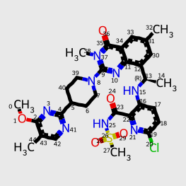 COc1nc(C2CCN(c3nc4c([C@@H](C)Nc5ccc(Cl)nc5C(=O)NS(C)(=O)=O)cc(C)cc4c(=O)n3C)CC2)ncc1C